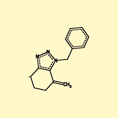 C=C1CC[CH]c2nnn(Cc3ccccc3)c21